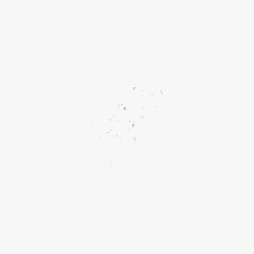 CCC(C)c1cccc2c(Nc3c(C)cc(C)cc3C)nc(C)cc12